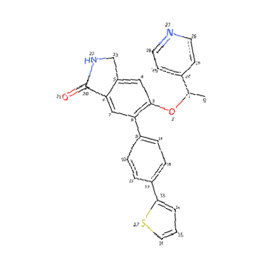 CC(Oc1cc2c(cc1-c1ccc(-c3cccs3)cc1)C(=O)NC2)c1ccncc1